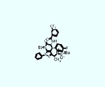 CCN1C(=O)[C@H](NC(=O)c2cccc(C(F)(F)F)c2)[C@H](c2ccc(F)cc2)c2c([C@@H](C)N[S@@+]([O-])C(C)(C)C)nn(-c3ccccc3)c21